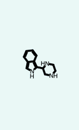 c1ccc2c(C3CNCCN3)[nH]cc2c1